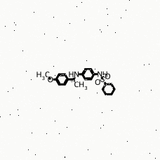 COc1ccc([C@@H](C)Nc2ccc(NS(=O)(=O)C3CCCCC3)cc2)cc1